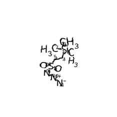 C[Si](C)(C)CCS(=O)(=O)N=[N+]=[N-]